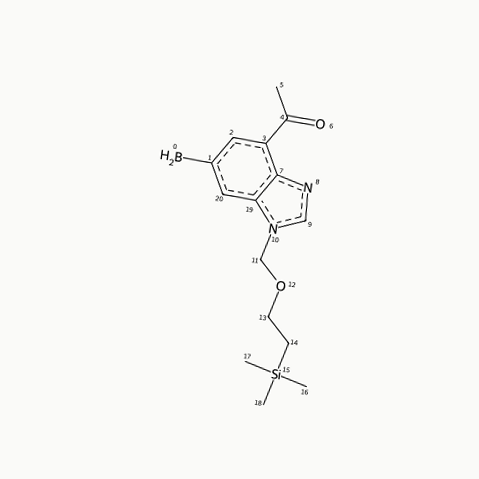 Bc1cc(C(C)=O)c2ncn(COCC[Si](C)(C)C)c2c1